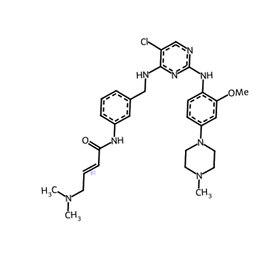 COc1cc(N2CCN(C)CC2)ccc1Nc1ncc(Cl)c(NCc2cccc(NC(=O)/C=C/CN(C)C)c2)n1